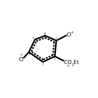 CCOC(=O)c1cc(Cl)ccc1Cl